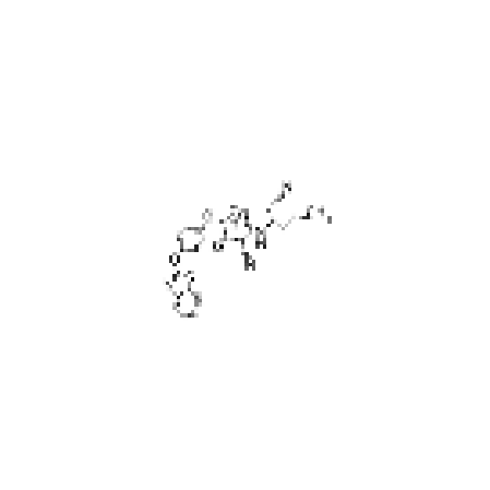 CCCCC(CC#N)NC(=O)C(C#N)C(=O)C(C)Oc1ccc(Oc2nc3cccnc3s2)cc1